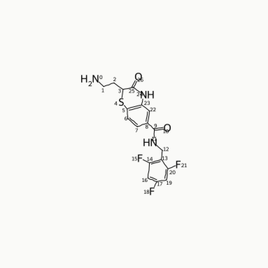 NCCC1Sc2ccc(C(=O)NCc3c(F)cc(F)cc3F)cc2NC1=O